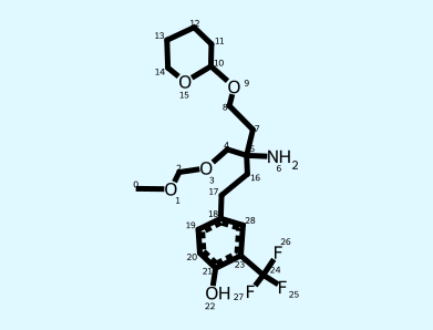 COCOCC(N)(CCOC1CCCCO1)CCc1ccc(O)c(C(F)(F)F)c1